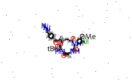 COc1ccc(C[C@H]2NC(=O)/C=C/C[C@@H]([C@H](C)[C@H]3O[C@@H]3c3ccc(CN=[N+]=[N-])cc3)OC(=O)[C@H](CC(C)(C)C)NC(=O)C(C)(C)CNC2=O)cc1Cl